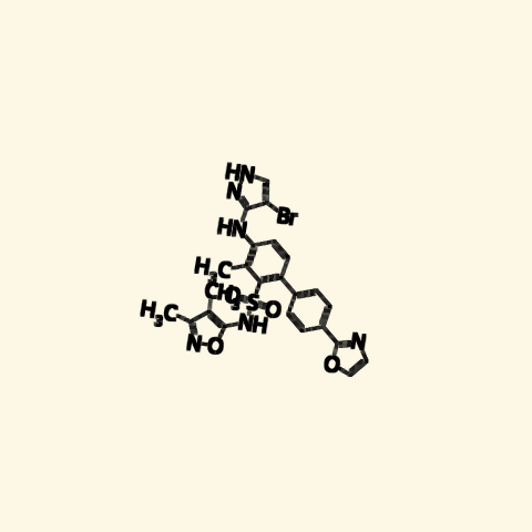 Cc1noc(NS(=O)(=O)c2c(-c3ccc(-c4ncco4)cc3)ccc(Nc3n[nH]cc3Br)c2C)c1C